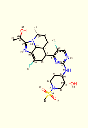 C[C@@H]1CCC2C(c3nc(N[C@@H]4CCN(S(C)(=O)=O)C[C@H]4O)ncc3F)CC(F)=C3N=C([C@@H](C)O)N1C32